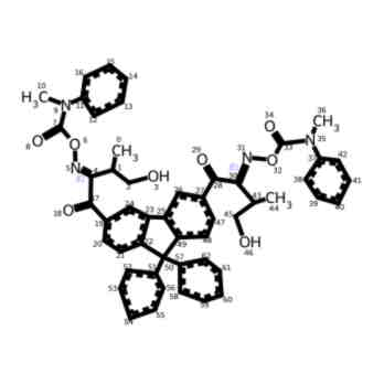 CC(CO)/C(=N\OC(=O)N(C)c1ccccc1)C(=O)c1ccc2c(c1)-c1cc(C(=O)/C(=N/OC(=O)N(C)c3ccccc3)C(C)CO)ccc1C2(c1ccccc1)c1ccccc1